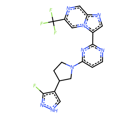 Fc1n[nH]cc1C1CCN(c2ccnc(-c3cnc4cnc(C(F)(F)F)cn34)n2)C1